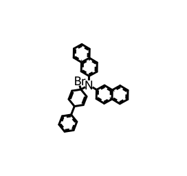 BrC1(N(c2ccc3ccccc3c2)c2ccc3ccccc3c2)C=CC(c2ccccc2)C=C1